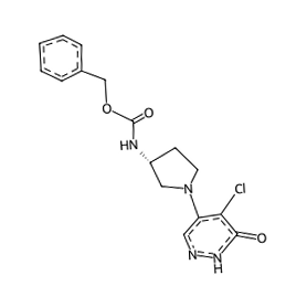 O=C(N[C@@H]1CCN(c2cn[nH]c(=O)c2Cl)C1)OCc1ccccc1